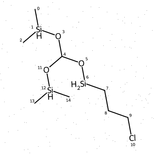 C[SiH](C)OC(O[SiH2]CCCCl)O[SiH](C)C